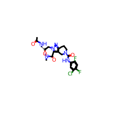 CC(=O)NC[C@@H]1Cn2nc3c(c2C(=O)N(C)O1)CN(C(=O)Nc1cc(Cl)c(F)cc1F)CC3